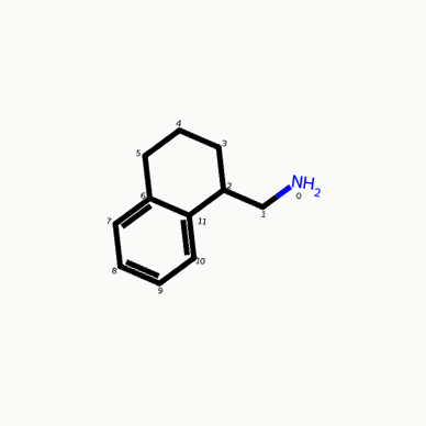 NCC1CCCc2ccccc21